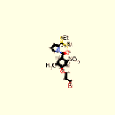 CCSC(SCC)[C@@H]1CCCN1C(=O)c1cc(C)c(OCCCBr)cc1[N+](=O)[O-]